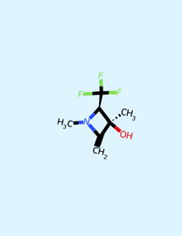 C=C1N(C)[C@@H](C(F)(F)F)[C@@]1(C)O